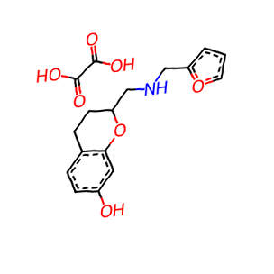 O=C(O)C(=O)O.Oc1ccc2c(c1)OC(CNCc1ccco1)CC2